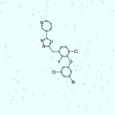 Fc1c(Cc2nnc(-c3cccnc3)o2)ccc(Cl)c1Oc1cc(Cl)cc(Br)c1